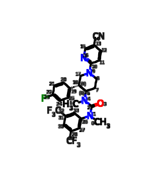 CN(C(=O)N(C)[C@@H]1CCN(c2ccc(C#N)cn2)C[C@H]1c1ccc(F)cc1)c1cc(C(F)(F)F)cc(C(F)(F)F)c1